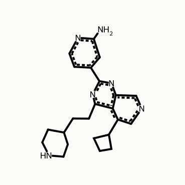 Nc1cc(-c2nc(CCC3CCNCC3)c3c(C4CCC4)cncc3n2)ccn1